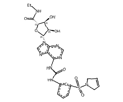 CCNC(=O)[C@H]1O[C@@H](n2cnc3c(NC(=O)Nc4cccc(S(=O)(=O)N5CC=CC5)c4)ncnc32)[C@H](O)[C@@H]1O